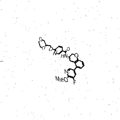 COc1ncc(-c2cccc3c2C[C@H](NC(=O)c2ccc(OCC4COCCO4)nc2)CO3)cc1F